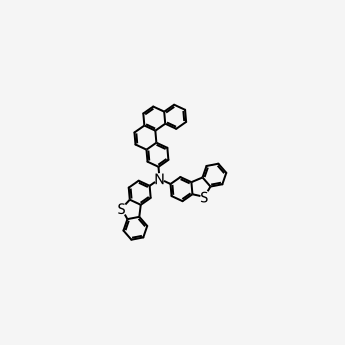 c1ccc2c(c1)ccc1ccc3cc(N(c4ccc5sc6ccccc6c5c4)c4ccc5sc6ccccc6c5c4)ccc3c12